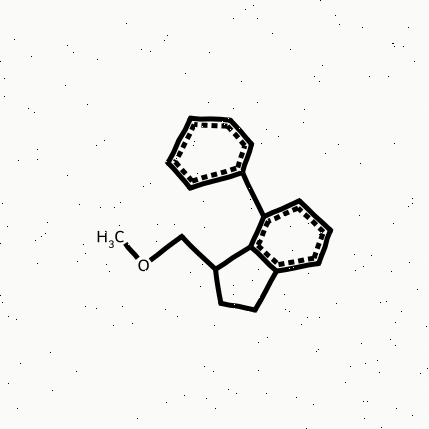 COCC1CCc2cccc(-c3ccccc3)c21